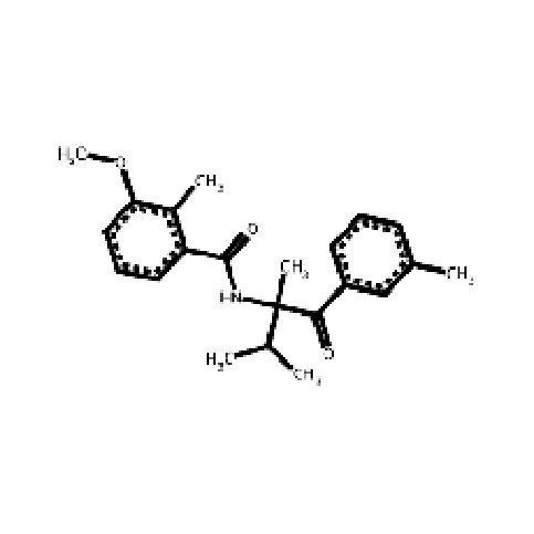 COc1cccc(C(=O)NC(C)(C(=O)c2cccc(C)c2)C(C)C)c1C